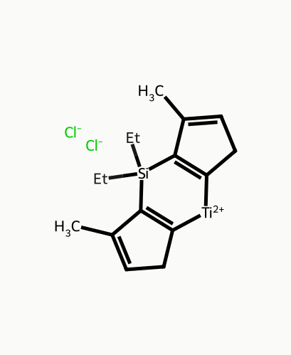 CC[Si]1(CC)C2=[C](CC=C2C)[Ti+2][C]2=C1C(C)=CC2.[Cl-].[Cl-]